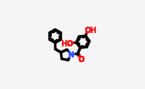 O=C(c1ccc(O)cc1O)N1CCC(Cc2ccccc2)C1